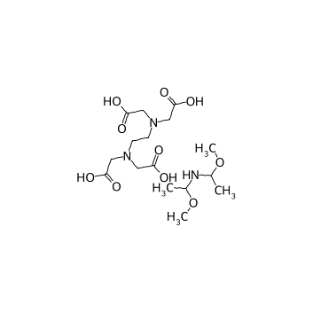 COC(C)NC(C)OC.O=C(O)CN(CCN(CC(=O)O)CC(=O)O)CC(=O)O